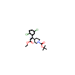 CCOC(=O)/C=C(/c1cc(Cl)ccc1Cl)C1CCN(C(=O)OC(C)(C)C)CC1